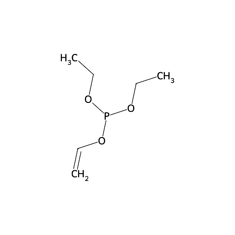 C=COP(OCC)OCC